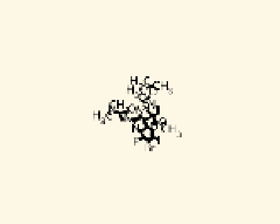 COC(=O)C1(c2c([N+](=O)[O-])c(N3CC(N(C)C)C3)nc3c(F)c(Br)c(I)cc23)CCN(C(=O)OC(C)(C)C)C1